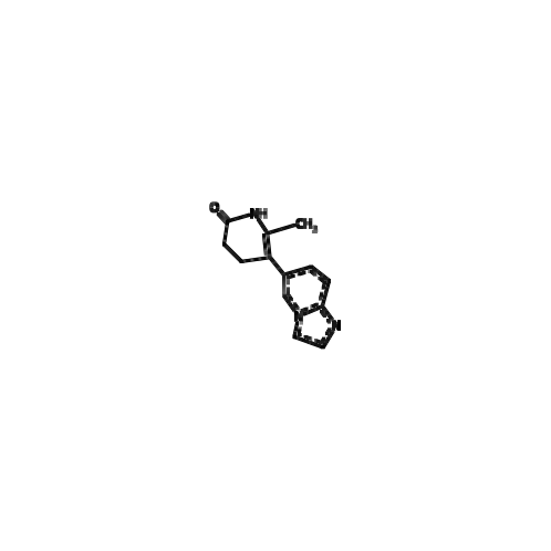 CC1=C(c2ccc3nccn3c2)CCC(=O)N1